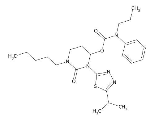 CCCCCN1CCC(OC(=O)N(CCC)c2ccccc2)N(c2nnc(C(C)C)s2)C1=O